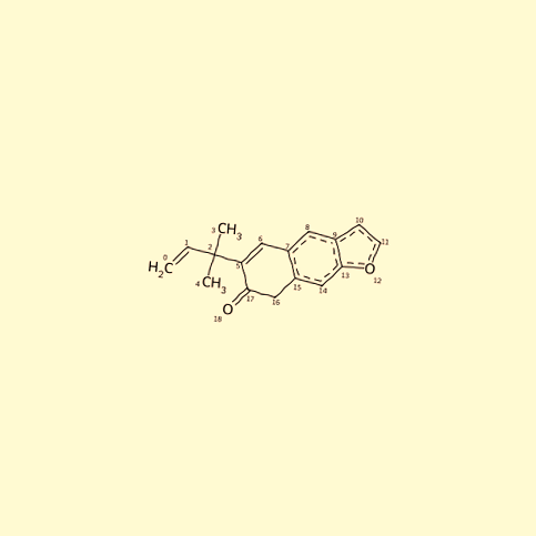 C=CC(C)(C)C1=Cc2cc3ccoc3cc2CC1=O